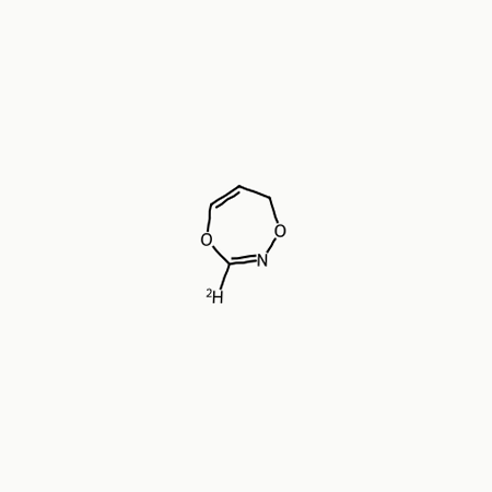 [2H]C1=NOCC=CO1